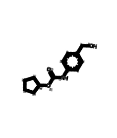 O=C(Nc1ccc(CO)cc1)OC1CCCC1